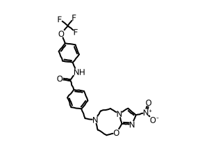 O=C(Nc1ccc(OC(F)(F)F)cc1)c1ccc(CN2CCOc3nc([N+](=O)[O-])cn3CC2)cc1